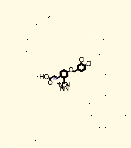 Cn1nnnc1-c1cc(OCc2ccc(Cl)c(Cl)c2)ccc1/C=C/C(=O)O